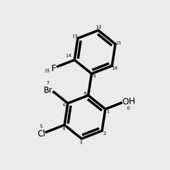 Oc1ccc(Cl)c(Br)c1-c1ccccc1F